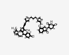 Cc1c(C#Cc2cnn(CCCn3cnc(COc4cccc5c4CN(C4CCC(=O)NC4=O)C5=O)c3)c2)sc2c1C(c1ccc(Cl)cc1)=NCc1nnc(C)n1-2